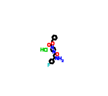 Cl.NC(CC(=O)N1CCN(C(=O)OCc2ccccc2)CC1)c1ccc(F)cc1